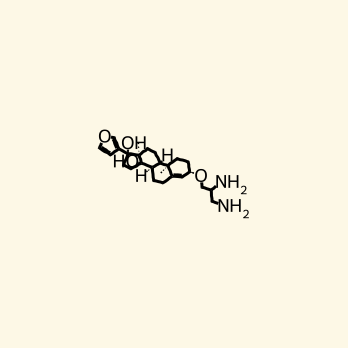 C[C@]12CC[C@H]3[C@@H](CCC4=C[C@@H](OCC(N)CN)CC[C@@]43C)[C@@]1(O)CC[C@]2(O)c1ccoc1